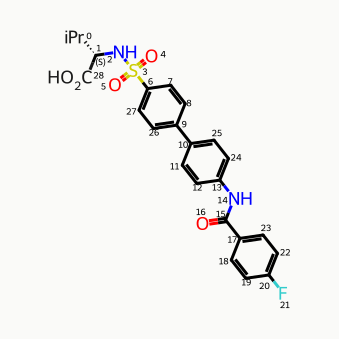 CC(C)[C@H](NS(=O)(=O)c1ccc(-c2ccc(NC(=O)c3ccc(F)cc3)cc2)cc1)C(=O)O